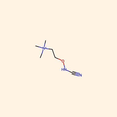 C[N+](C)(C)CCONC#N